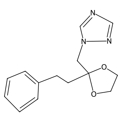 c1ccc(CCC2(Cn3cncn3)OCCO2)cc1